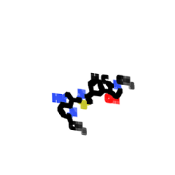 C=C1N(C)CCC1(O)c1cccc(-c2csc(C3CNc4ccc(C)nc43)n2)c1